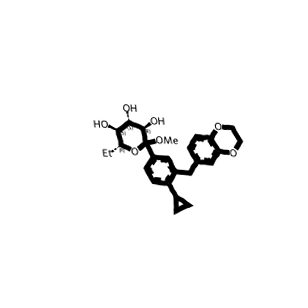 CC[C@H]1OC(OC)(c2ccc(C3CC3)c(Cc3ccc4c(c3)OCCO4)c2)[C@H](O)[C@@H](O)[C@@H]1O